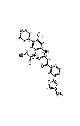 Cc1cc(-c2cccc(C(=O)CC(=O)Nc3cc(C(F)(F)F)c(N4CCOCC4)cc3NC(=O)OC(C)(C)C)c2)on1